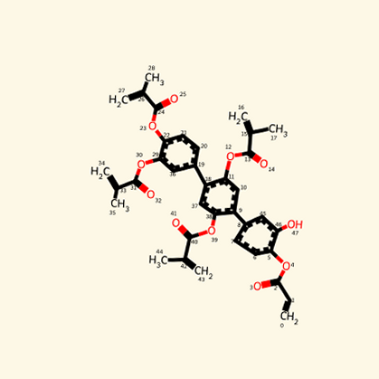 C=CC(=O)Oc1ccc(-c2cc(OC(=O)C(=C)C)c(-c3ccc(OC(=O)C(=C)C)c(OC(=O)C(=C)C)c3)cc2OC(=O)C(=C)C)cc1O